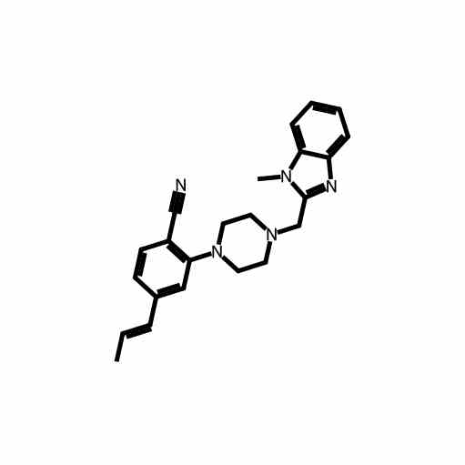 CC=Cc1ccc(C#N)c(N2CCN(Cc3nc4ccccc4n3C)CC2)c1